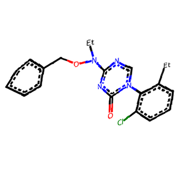 CCc1cccc(Cl)c1-n1cnc(N(CC)OCc2ccccc2)nc1=O